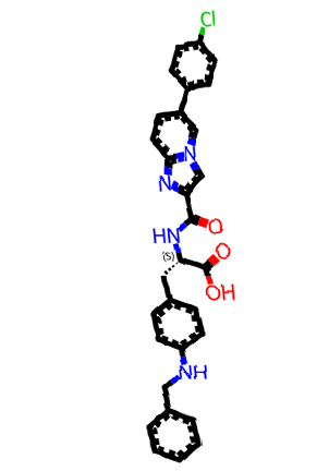 O=C(N[C@@H](Cc1ccc(NCc2ccccc2)cc1)C(=O)O)c1cn2cc(-c3ccc(Cl)cc3)ccc2n1